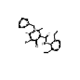 CCc1cccc(CC)c1NC(=O)c1c(C)n(Cc2ccccc2)c(C)c(F)c1=O